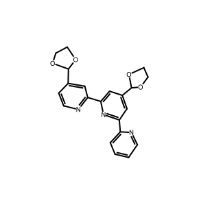 c1ccc(-c2cc(C3OCCO3)cc(-c3cc(C4OCCO4)ccn3)n2)nc1